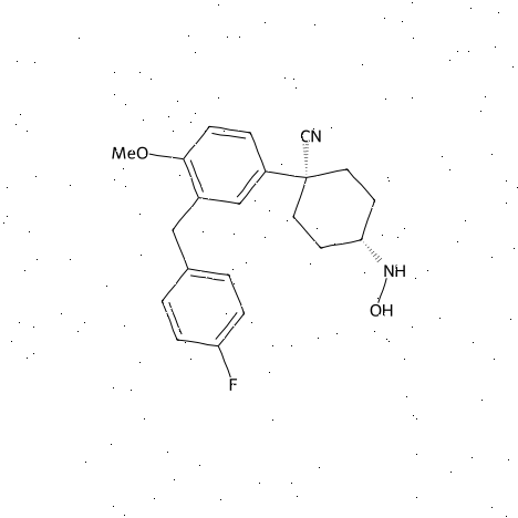 COc1ccc([C@]2(C#N)CC[C@@H](NO)CC2)cc1Cc1ccc(F)cc1